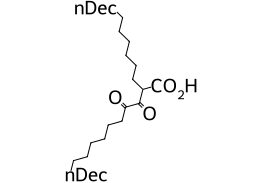 CCCCCCCCCCCCCCCCC(=O)C(=O)C(CCCCCCCCCCCCCCCC)C(=O)O